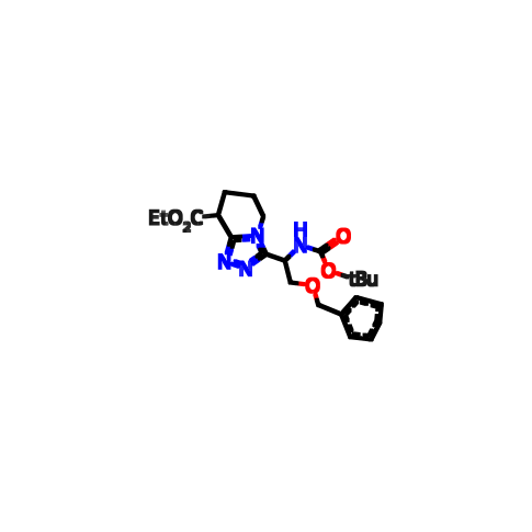 CCOC(=O)C1CCCn2c(C(COCc3ccccc3)NC(=O)OC(C)(C)C)nnc21